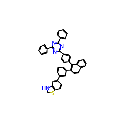 c1ccc(-c2nc(-c3ccccc3)nc(-c3ccc(-c4c(-c5cccc(-c6ccc7c(c6)NCS7)c5)ccc5ccccc45)cc3)n2)cc1